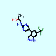 CC(O)CNc1ncc(-c2cc(C(F)(F)F)cc3[nH]ncc23)cn1